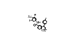 CC(=O)c1c(F)cc(NC(=O)c2ccc3c(c2)C(c2ccc(C)cc2)=CC(C)(C)O3)cc1F